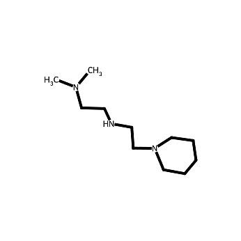 CN(C)CCNCCN1CCCCC1